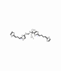 CC(C)(SCSC1=CS/C(=C/CC=C2SC=CS2)S1)C1=CS/C(=C\CCC=C2SC=CS2)S1